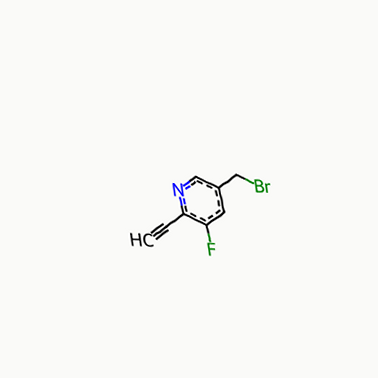 C#Cc1ncc(CBr)cc1F